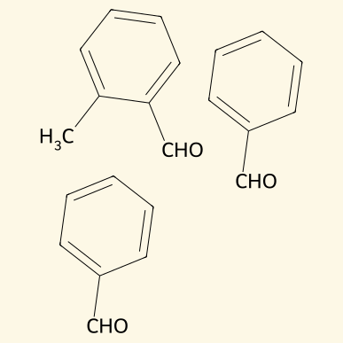 Cc1ccccc1C=O.O=Cc1ccccc1.O=Cc1ccccc1